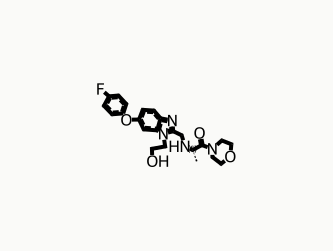 C[C@H](NCc1nc2ccc(Oc3ccc(F)cc3)cc2n1CCO)C(=O)N1CCOCC1